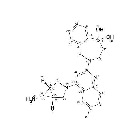 Cc1ccc2nc(N3CCS(O)(O)c4ccccc4C3)cc(N3C[C@@H]4[C@H](N)[C@@H]4C3)c2c1